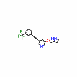 FC(F)(F)c1cccc(C#Cc2cncc(OCC3CCN3)c2)c1